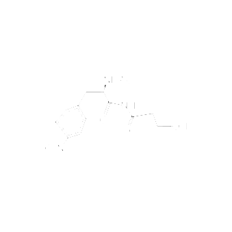 CC(=O)N[C@H](Cc1ccc([N+](=O)[O-])cc1)C(=O)NC(=O)CCO